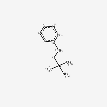 CC(C)(N)CNc1cccnn1